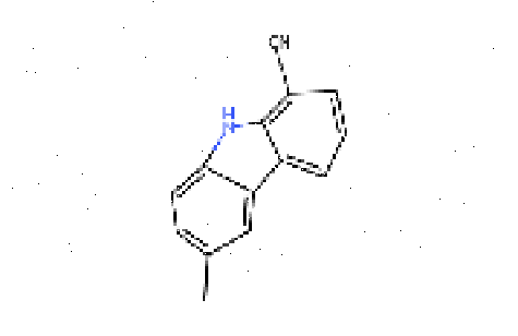 Cc1ccc2[nH]c3c(C#N)cccc3c2c1